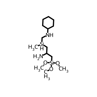 CO[Si](CC(N)C[SiH](C)CNC1CCCCC1)(OC)OC